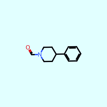 O=CN1CCC(c2ccccc2)CC1